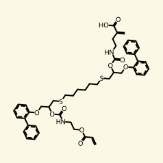 C=CC(=O)OCCNC(=O)OC(COc1ccccc1-c1ccccc1)CSCCCCCCSCC(COc1ccccc1-c1ccccc1)OC(=O)NCCC(=C)C(=O)O